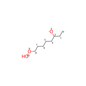 CCC([O])CCCCCOO